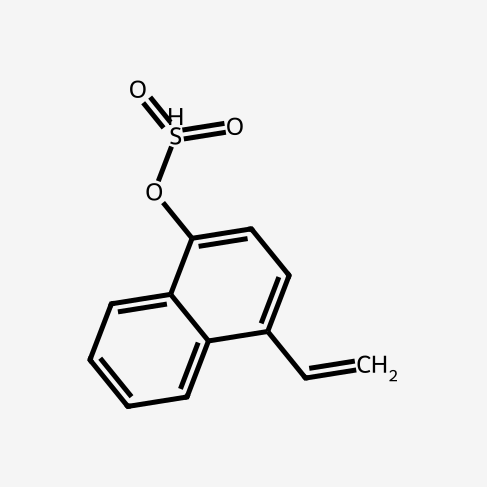 C=Cc1ccc(O[SH](=O)=O)c2ccccc12